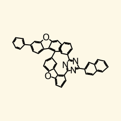 c1ccc(-c2ccc3c(c2)oc2cccc(-c4ccc5oc6cccc(-c7nc(-c8ccccc8)nc(-c8ccc9ccccc9c8)n7)c6c5c4)c23)cc1